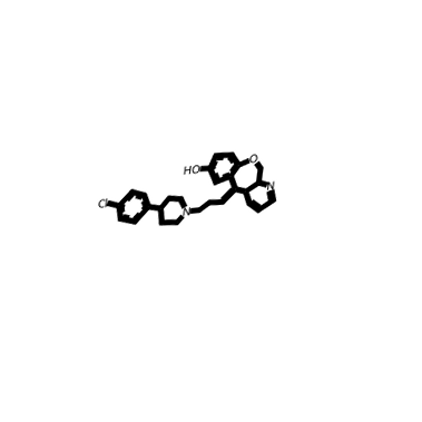 Oc1ccc2c(c1)C(=CCCN1CCC(c3ccc(Cl)cc3)CC1)C1C=CC=NC1CO2